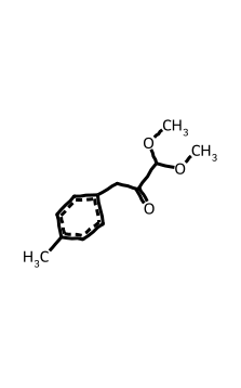 COC(OC)C(=O)Cc1ccc(C)cc1